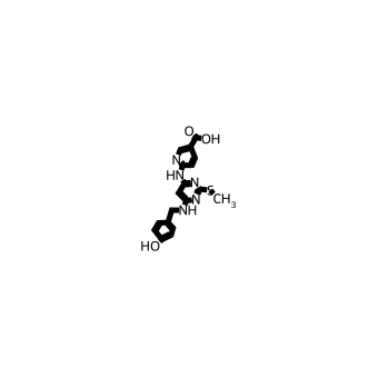 CSc1nc(NCc2ccc(O)cc2)cc(Nc2ccc(C(=O)O)cn2)n1